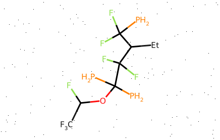 CCC(C(F)(F)P)C(F)(F)C(P)(P)OC(F)C(F)(F)F